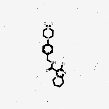 CCc1nc2n(c1C(=O)NCc1ccc(N3CCS(=O)(=O)CC3)cc1)CCCC2